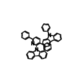 c1ccc(-c2ccc(-c3ccccc3)c(-n3c4ccccc4c4cccc(-c5ccc6c(c5)c5ccccc5n6-c5ccccc5)c43)n2)cc1